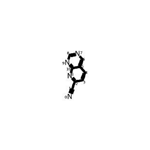 N#Cc1ccc2cncnc2n1